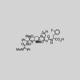 CC[C@H](C)C(C(CC(=O)N1C2C[C@H]2C[C@H]1[C@H](OC)[C@@H](C)C(=O)NC(Cc1ccccc1F)C(=O)O)OC)N(C)C(=O)[C@@H](NC(=O)[C@@H](NC)C(C)C)C(C)C